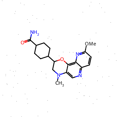 COc1ccc2ncc3c(c2n1)OC(C1CCC(C(N)=O)CC1)CN3C